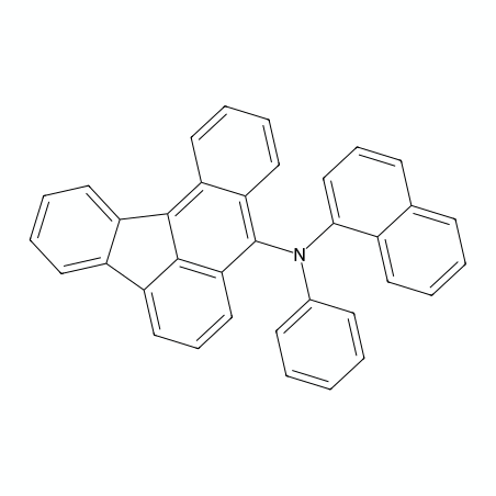 c1ccc(N(c2cccc3ccccc23)c2c3ccccc3c3c4c(cccc24)-c2ccccc2-3)cc1